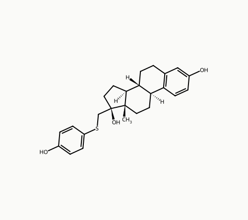 C[C@]12CC[C@@H]3c4ccc(O)cc4CC[C@H]3[C@@H]1CC[C@@]2(O)CSc1ccc(O)cc1